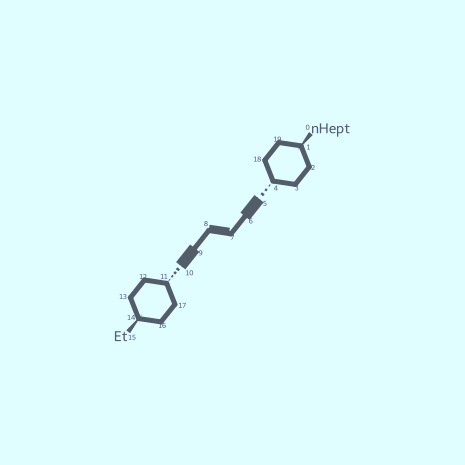 CCCCCCC[C@H]1CC[C@H](C#C/C=C/C#C[C@H]2CC[C@H](CC)CC2)CC1